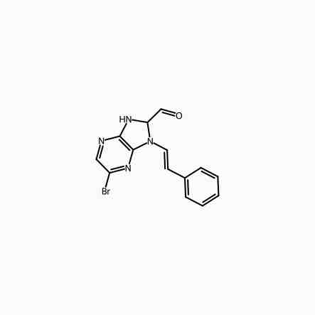 O=CC1Nc2ncc(Br)nc2N1C=Cc1ccccc1